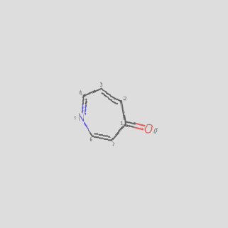 O=c1cccncc1